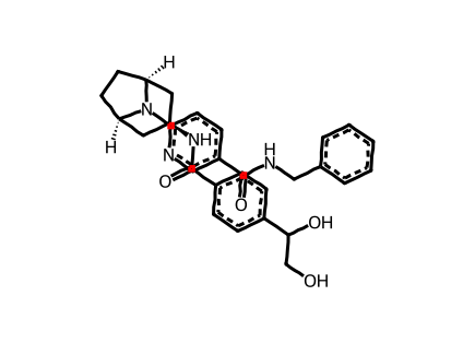 O=C(NCc1ccccc1)c1ccc(N2[C@@H]3CC[C@H]2C[C@@H](NC(=O)c2ccc(C(O)CO)cc2)C3)nc1